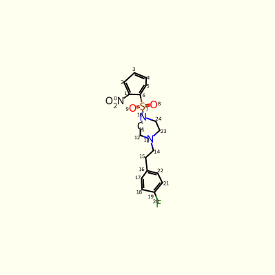 O=[N+]([O-])c1ccccc1S(=O)(=O)N1CCN(CCc2ccc(F)cc2)CC1